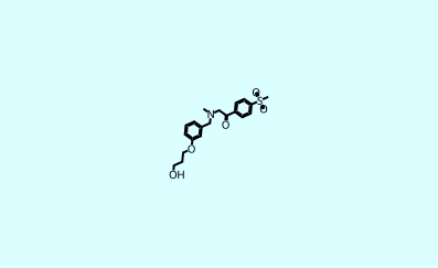 CN(CC(=O)c1ccc(S(C)(=O)=O)cc1)Cc1cccc(OCCCO)c1